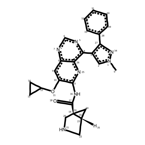 Cn1cc(-c2ncnc3cc(OC4CC4)c(NC(=O)[C@]45CNC[C@H]4C5)nc23)c(-c2ccccc2)n1